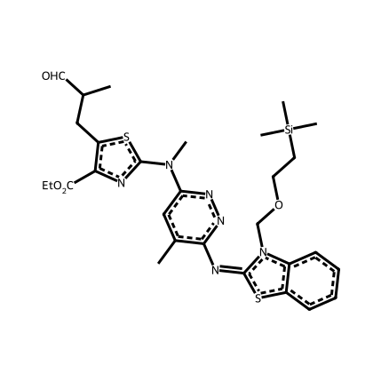 CCOC(=O)c1nc(N(C)c2cc(C)c(N=c3sc4ccccc4n3COCC[Si](C)(C)C)nn2)sc1CC(C)C=O